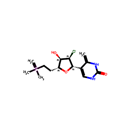 C=C1NC(=O)NC=C1[C@@H]1O[C@H](CCP(=C)(C)C)[C@@H](O)[C@H]1Cl